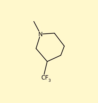 CN1CCCC(C(F)(F)F)C1